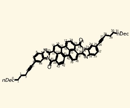 CCCCCCCCCCCCCC#Cc1ccc2nc3c4ccc5c6ccc7c(=O)n8c9cc(C#CCCCCCCCCCCCCC)ccc9nc8c8ccc(c9ccc(c(=O)n3c2c1)c4c95)c6c78